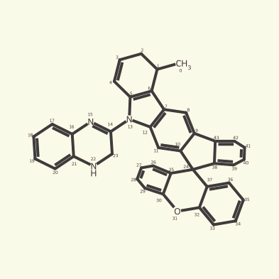 CC1CC=Cc2c1c1cc3c(cc1n2C1=Nc2ccccc2NC1)C1(c2ccccc2Oc2ccccc21)c1ccccc1-3